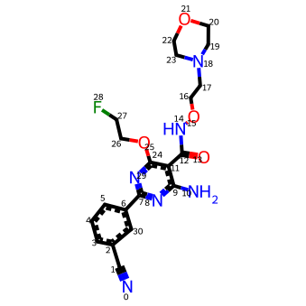 N#Cc1cccc(-c2nc(N)c(C(=O)NOCCN3CCOCC3)c(OCCF)n2)c1